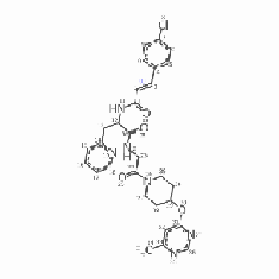 O=C(/C=C/c1ccc(Cl)cc1)NC(Cc1ccccn1)C(=O)NCC(=O)N1CCC(Oc2cc(C(F)(F)F)ncn2)CC1